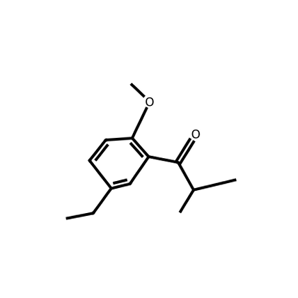 CCc1ccc(OC)c(C(=O)C(C)C)c1